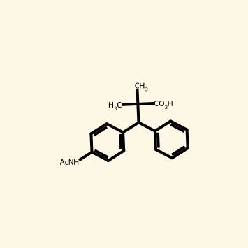 CC(=O)Nc1ccc(C(c2ccccc2)C(C)(C)C(=O)O)cc1